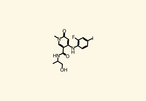 CC(CO)NC(=O)c1cn(C)c(=O)cc1Nc1ccc(I)cc1F